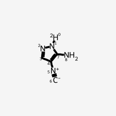 [2H]n1ncc([N+]#[C-])c1N